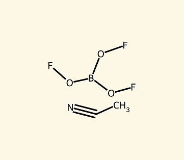 CC#N.FOB(OF)OF